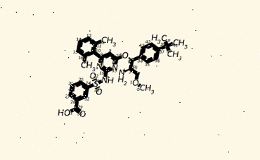 COC[C@@H](N)[C@H](Oc1cc(-c2c(C)cccc2C)nc(NS(=O)(=O)c2cccc(C(=O)O)c2)n1)c1ccc(C(C)(C)C)cc1